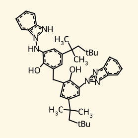 CC(C)(C)CC(C)(C)c1cc(Cc2cc(C(C)(C)CC(C)(C)C)cc(-n3n4c5ccccc5n34)c2O)c(O)c(Nn2[nH]c3ccccc32)c1